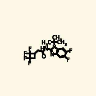 CC(C)(C)n1c(NC(=O)CC2CC(F)(F)C2(F)F)nc2cc(F)c(F)cc21